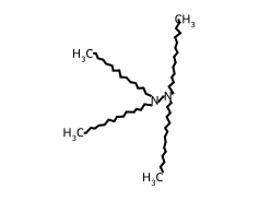 CCCCCCCCCCCCCCCCN(CCCCCCCCCCCCCCCC)CCN(CCCCCCCCCCCCCCCC)CCCCCCCCCCCCCCCC